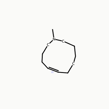 CN1CCC/C=C\CCCCC1